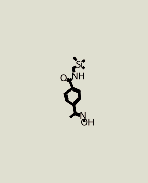 CC(=NO)c1ccc(C(=O)NC[Si](C)(C)C)cc1